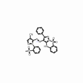 CS(=O)(=O)c1ccccc1-n1ncc(C#N)c1/N=N/c1c(-c2ccccc2)nn2c1Nc1ccccc1S2(=O)=O